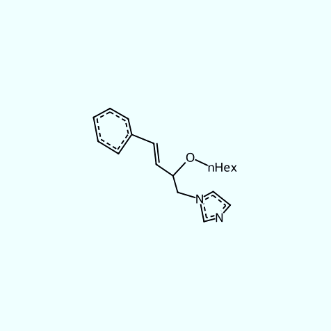 CCCCCCOC(C=Cc1ccccc1)Cn1ccnc1